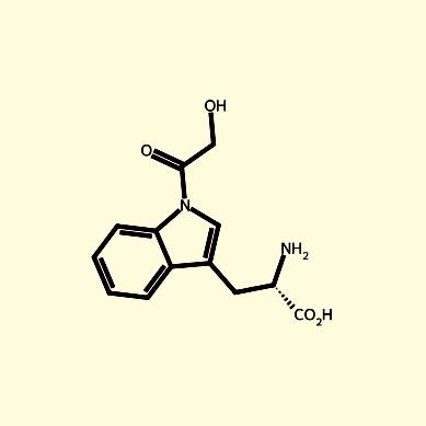 N[C@@H](Cc1cn(C(=O)CO)c2ccccc12)C(=O)O